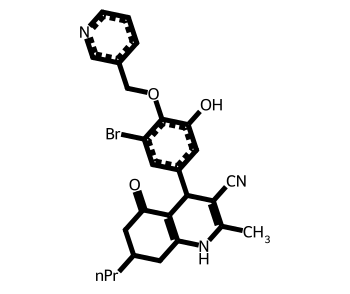 CCCC1CC(=O)C2=C(C1)NC(C)=C(C#N)C2c1cc(O)c(OCc2cccnc2)c(Br)c1